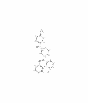 O=C(c1cccc(F)c1-c1ncccn1)N1CCC[C@@H](Nc2ccc(C(F)(F)F)cn2)C1